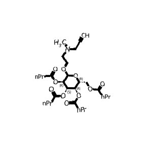 C#CCN(C)CCOC1O[C@H](COC(=O)CCC)[C@@H](OC(=O)CCC)[C@H](OC(=O)CCC)[C@H]1OC(=O)CCC